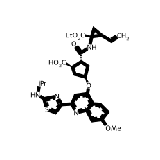 C=CC1C[C@]1(NC(=O)[C@@H]1C[C@@H](Oc2cc(-c3csc(NC(C)C)n3)nc3cc(OC)ccc23)C[C@H]1C(=O)O)C(=O)OCC